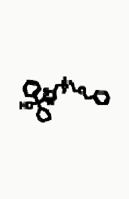 C[N+](C)(CCOCc1ccccc1)Cc1cnc(C(O)(c2ccccc2)C2CCCC2)s1